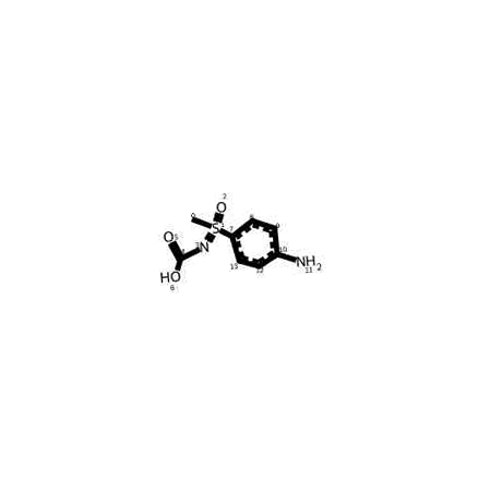 CS(=O)(=NC(=O)O)c1ccc(N)cc1